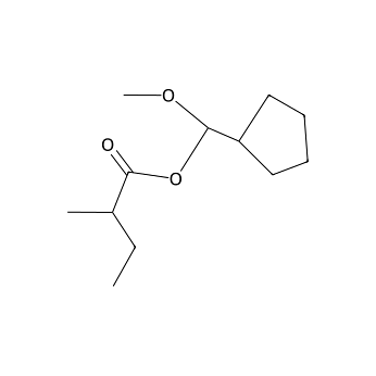 CCC(C)C(=O)OC(OC)C1CCCC1